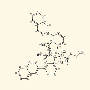 C[SiH](CCC(F)(F)F)[Zr]([Cl])([Cl])([CH]1C(CC(C)(C)C)=Cc2c(-c3ccc4ccccc4c3)cccc21)[CH]1C(CC(C)(C)C)=Cc2c(-c3ccc4ccccc4c3)cccc21